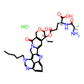 CCCCCN1C=Nc2cccc3nc4c(c1c23)Cn1c-4cc2c(c1=O)COC(=O)[C@@]2(CC)OC(=O)CC[C@H](NC(=O)[C@H](C)N)C(=O)O.Cl